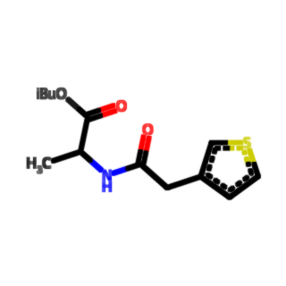 CC(C)COC(=O)C(C)NC(=O)Cc1ccsc1